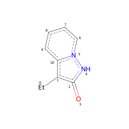 CCc1c(=O)[nH]n2ccccc12